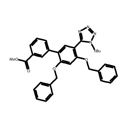 CCCCn1nnnc1-c1cc(-c2cccc(C(=O)OC)c2)c(OCc2ccccc2)cc1OCc1ccccc1